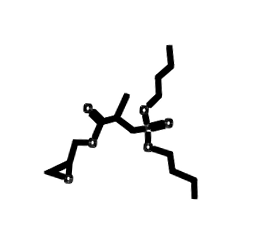 CCCCOP(=O)(CC(C)C(=O)OCC1CO1)OCCCC